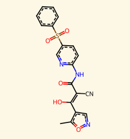 Cc1oncc1/C(O)=C(\C#N)C(=O)Nc1ccc(S(=O)(=O)c2ccccc2)cn1